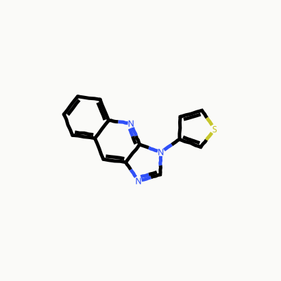 c1ccc2nc3c(cc2c1)ncn3-c1ccsc1